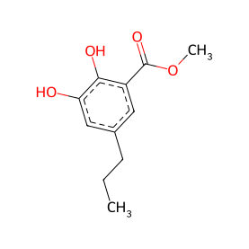 CCCc1cc(O)c(O)c(C(=O)OC)c1